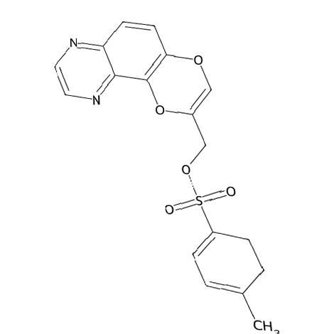 CC1=CC=C(S(=O)(=O)OCC2=COc3ccc4nccnc4c3O2)CC1